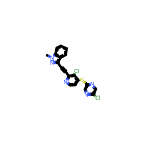 Cn1nc(C#Cc2nccc(Sc3cnc(Cl)cn3)c2Cl)c2ccccc21